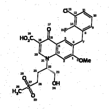 COc1cc2c(cc1Cc1cccc(Cl)c1F)c(=O)c(C(=O)O)cn2[C@H](CO)CCS(C)(=O)=O